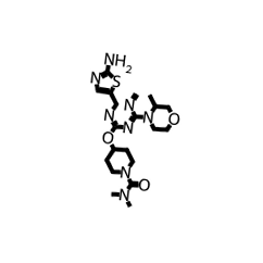 C=N/C(=N\C(=N/Cc1cnc(N)s1)OC1CCN(C(=O)N(C)C)CC1)N1CCOCC1C